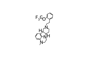 CN1CCN2c3c(cccc31)[C@@H]1CN(CCc3ccccc3OC(F)(F)F)CC[C@@H]12